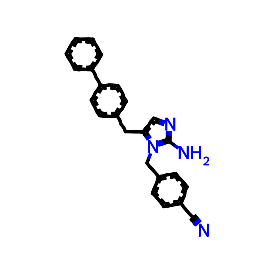 N#Cc1ccc(Cn2c(Cc3ccc(-c4ccccc4)cc3)cnc2N)cc1